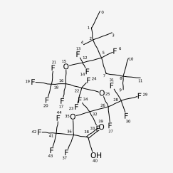 CCC(C)(C)C(F)(CC(C)(C)C)C(F)(F)OC(F)(C(F)(F)F)C(F)(F)OC(F)(C(F)(F)F)C(F)(F)OC(F)(C(=O)O)C(F)(F)F